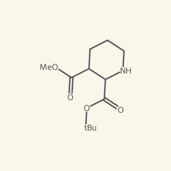 COC(=O)C1CCCNC1C(=O)OC(C)(C)C